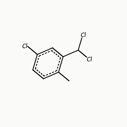 Cc1ccc(Cl)cc1C(Cl)Cl